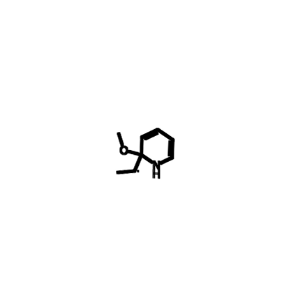 C[CH]C1(OC)C=CC=CN1